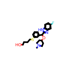 CN1CCC(OC(c2cccc(SCCCCO)c2)c2nc3cc(F)ccc3[nH]2)CC1